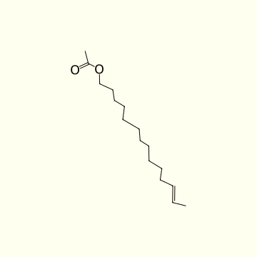 CC=CCCCCCCCCCCCOC(C)=O